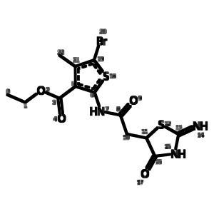 CCOC(=O)c1c(NC(=O)CC2SC(=N)NC2=O)sc(Br)c1C